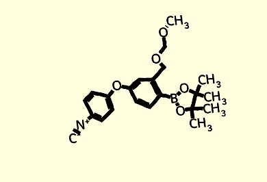 [C-]#[N+]c1ccc(Oc2ccc(B3OC(C)(C)C(C)(C)O3)c(COCOC)c2)cc1